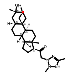 CCOC[C@]12CC[C@@](C)(O)C[C@@H]1CC[C@H]1[C@@H]3CC[C@H](C(=O)CN4N=C(C)NN4C)[C@@]3(C)CC[C@@H]12